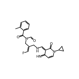 Cc1ccccc1C(=O)N(C=O)C/C(=C\F)CN/C=C1\C(=N)C=CN(C2CC2)C1=O